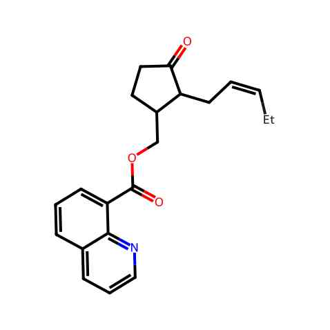 CC/C=C\CC1C(=O)CCC1COC(=O)c1cccc2cccnc12